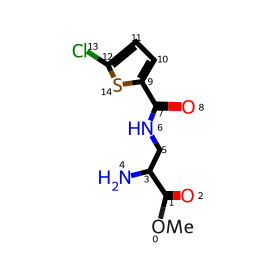 COC(=O)C(N)CNC(=O)c1ccc(Cl)s1